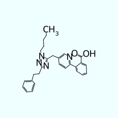 CCCCCn1nc(CCc2ccccc2)nc1Cc1ccc(-c2ccccc2C(=O)O)nc1